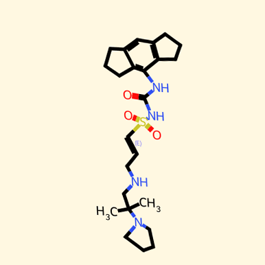 CC(C)(CNC/C=C/S(=O)(=O)NC(=O)Nc1c2c(cc3c1CCC3)CCC2)N1CCCC1